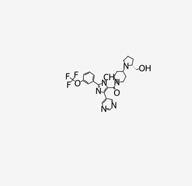 Cn1c(-c2cccc(OC(F)(F)F)c2)nc(-c2cncnc2)c1C(=O)N1CCC(N2CCC[C@@H]2CO)CC1